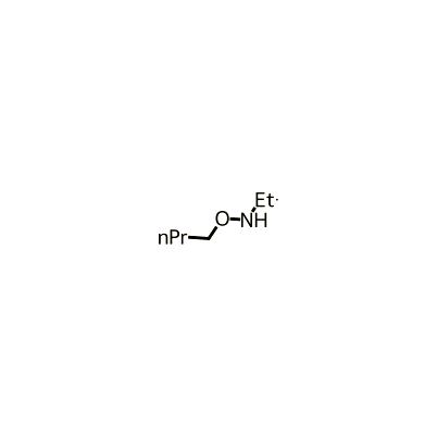 C[CH]NOCCCC